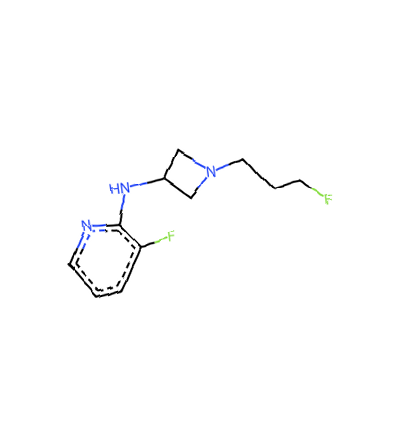 FCCCN1CC(Nc2ncccc2F)C1